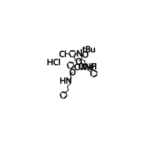 COc1c(OCCNCCCc2ccccc2)cccc1[C@H]1O[C@H](CC(=O)NCc2ccccc2F)C(=O)N(CC(C)(C)C)c2ccc(Cl)cc21.Cl